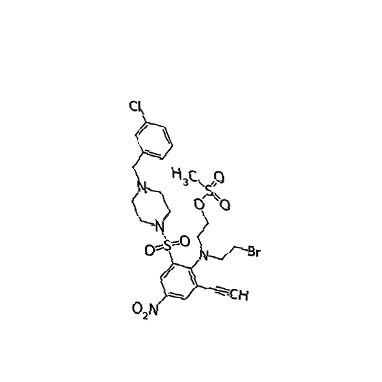 C#Cc1cc([N+](=O)[O-])cc(S(=O)(=O)N2CCN(Cc3cccc(Cl)c3)CC2)c1N(CCBr)CCOS(C)(=O)=O